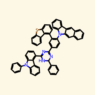 c1ccc(C2N=C(c3ccc(-n4c5ccccc5c5cc6ccccc6cc54)c(-c4cccc5sc6ccccc6c45)c3)N=C(c3cccc4c3c3ccccc3n4-c3ccccc3)N2)cc1